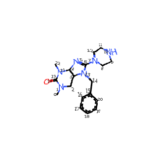 CN1CC2C(N=C(N3CCNCC3)N2Cc2ccccc2)N(C)C1=O